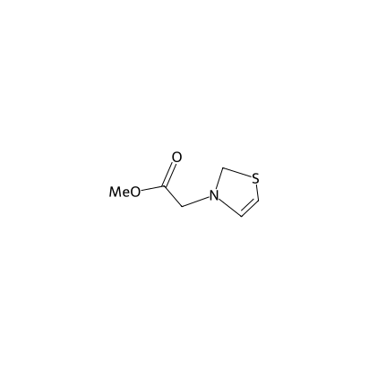 COC(=O)CN1C=CSC1